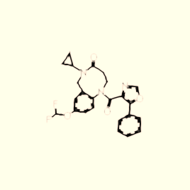 O=C(c1ncoc1-c1ccccc1)N1CCC(=O)N(C2CC2)Cc2cc(OC(F)F)ccc21